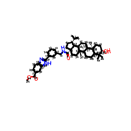 C=C(C)[C@@H]1CC[C@]2(C(=O)NCc3cccc(-c4nc5ccc(C(=O)OC)cc5[nH]4)c3)CC[C@]3(C)C(CCC4[C@@]5(C)CC[C@H](O)C(C)(C)C5CC[C@]43C)C12